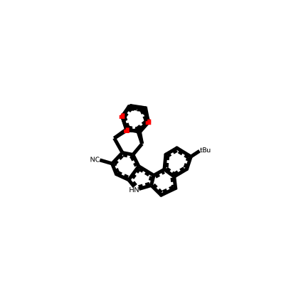 CC(C)(C)c1ccc2c(ccc3[nH]c4cc(C#N)c5c(c4c32)C2c3ccccc3C5c3ccccc32)c1